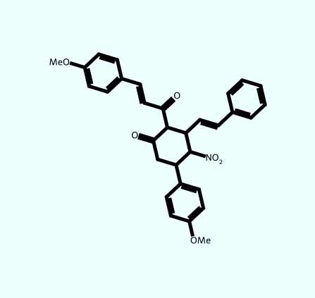 COc1ccc(C=CC(=O)C2C(=O)CC(c3ccc(OC)cc3)C([N+](=O)[O-])C2C=Cc2ccccc2)cc1